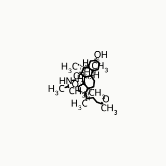 CC[C@H]1[C@@H](OC(=O)NC(C)C)[C@@H]2[C@H](CC[C@]3(C)[C@@H]([C@H](C)CCC(C)=O)CC[C@@H]23)[C@@]2(C)CC[C@@H](O)C[C@@H]12